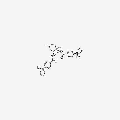 [CH2]C1CCC([CH2])(OOC(=O)c2ccc([Si](C=C)(C=C)CC)cc2)C(OOC(=O)c2ccc([Si](C=C)(C=C)CC)cc2)C1